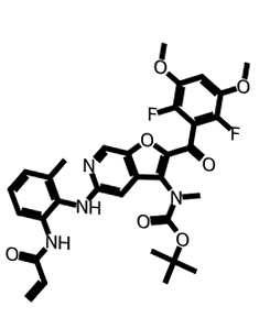 C=CC(=O)Nc1cccc(C)c1Nc1cc2c(N(C)C(=O)OC(C)(C)C)c(C(=O)c3c(F)c(OC)cc(OC)c3F)oc2cn1